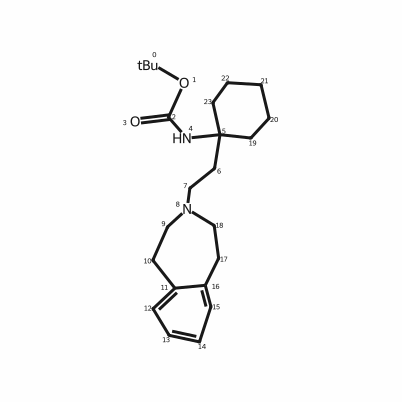 CC(C)(C)OC(=O)NC1(CCN2CCc3ccccc3CC2)CCCCC1